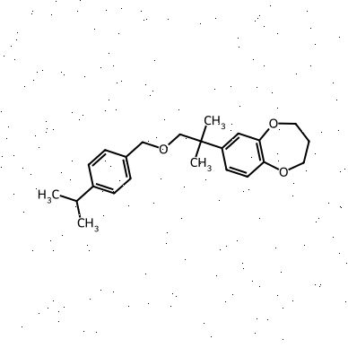 CC(C)c1ccc(COCC(C)(C)c2ccc3c(c2)OCCCO3)cc1